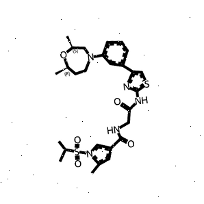 Cc1cc(C(=O)NCC(=O)Nc2nc(-c3cccc(N4CC[C@@H](C)O[C@@H](C)C4)c3)cs2)cn1S(=O)(=O)C(C)C